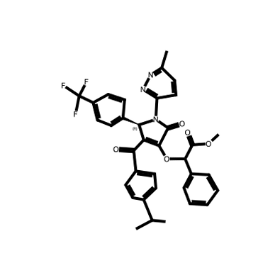 COC(=O)C(OC1=C(C(=O)c2ccc(C(C)C)cc2)[C@@H](c2ccc(C(F)(F)F)cc2)N(c2ccc(C)nn2)C1=O)c1ccccc1